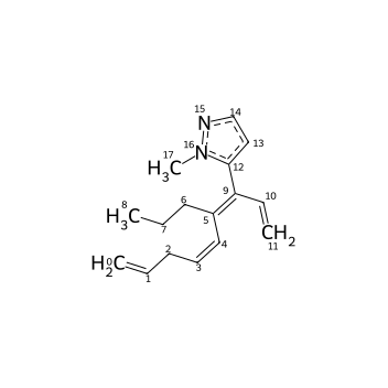 C=CC/C=C\C(CCC)=C(/C=C)c1ccnn1C